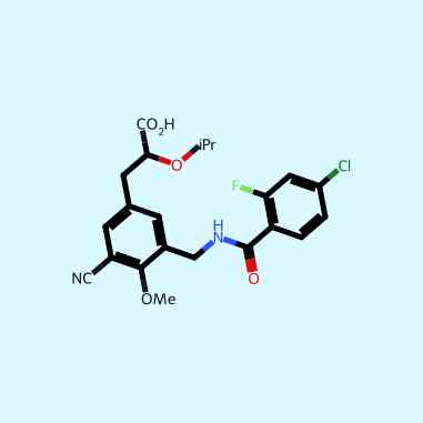 COc1c(C#N)cc(CC(OC(C)C)C(=O)O)cc1CNC(=O)c1ccc(Cl)cc1F